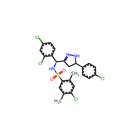 Cc1cc(S(=O)(=O)N[C@H](C2=NNC(c3ccc(Cl)cc3)C2)c2ccc(Cl)cc2Cl)c(C)cc1Cl